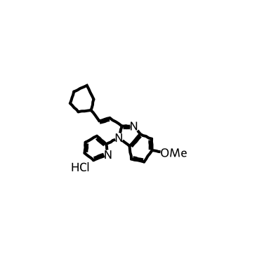 COc1ccc2c(c1)nc(/C=C/C1CCCCC1)n2-c1ccccn1.Cl